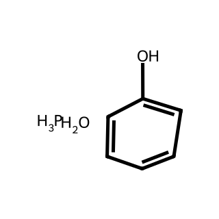 O.Oc1ccccc1.P